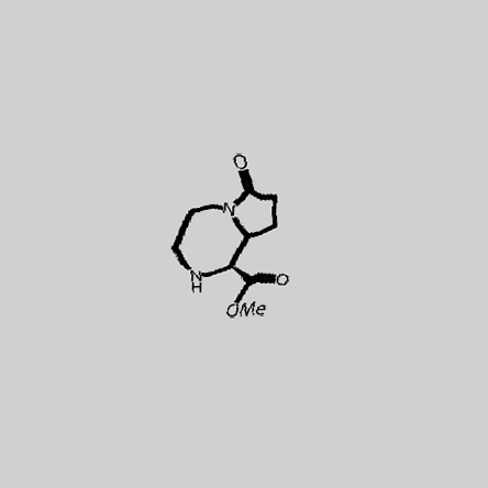 COC(=O)[C@H]1NCCN2C(=O)CCC12